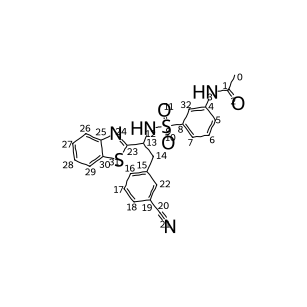 CC(=O)Nc1cccc(S(=O)(=O)NC(Cc2cccc(C#N)c2)c2nc3ccccc3s2)c1